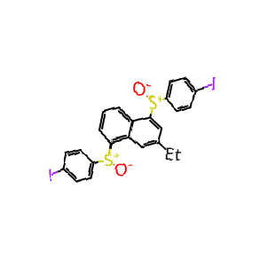 CCc1cc([S+]([O-])c2ccc(I)cc2)c2cccc([S+]([O-])c3ccc(I)cc3)c2c1